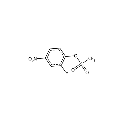 O=[N+]([O-])c1ccc(OS(=O)(=O)C(F)(F)F)c(F)c1